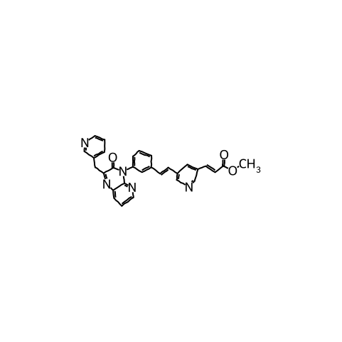 COC(=O)/C=C/c1cncc(/C=C/c2cccc(-n3c(=O)c(Cc4cccnc4)nc4cccnc43)c2)c1